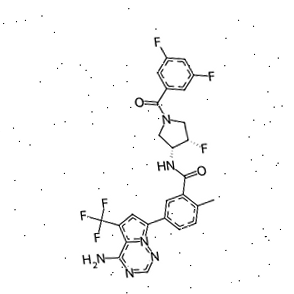 Cc1ccc(-c2cc(C(F)(F)F)c3c(N)ncnn23)cc1C(=O)N[C@@H]1CN(C(=O)c2cc(F)cc(F)c2)C[C@@H]1F